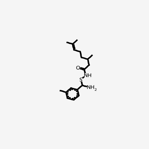 CC(C)=CCCC(C)CC(=O)NSC(N)c1cccc(C)c1